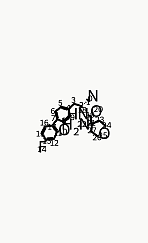 N#C[C@@H](Cc1ccc2c(c1)oc1cc(F)ccc12)NC(=O)C1(N)CCOCC1